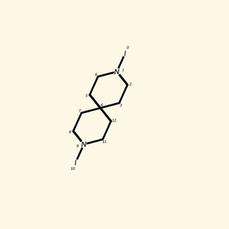 IN1CCC2(CC1)CCN(I)CC2